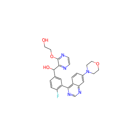 OCCOc1nccnc1C(O)c1ccc(F)c(-c2ncnc3cc(N4CCOCC4)ccc23)c1